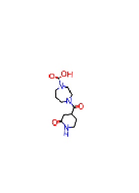 O=C1CC(C(=O)N2CCCN(C(=O)O)CC2)CCN1